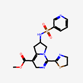 COC(=O)C1=C2CC(NS(=O)(=O)c3cccnc3)CN2C(C2=NCCS2)=NC1